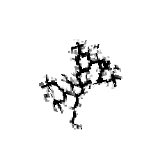 CN1C(C)(C)CC(OC(=O)C(CCCCCCO)(Cc2cc(C(C)(C)C)c(O)c(C(C)(C)C)c2)C(=O)OC2CC(C)(C)N(C)C(C)(C)C2)CC1(C)C